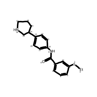 CCSc1cccc(C(=O)Nc2ccc(C3CCCNC3)cc2)c1